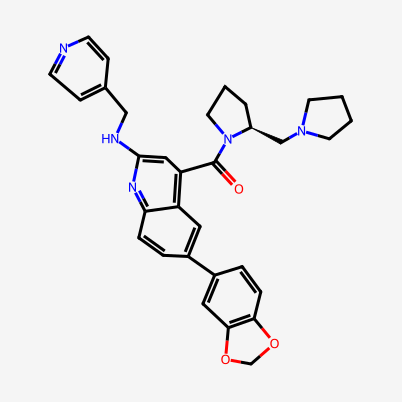 O=C(c1cc(NCc2ccncc2)nc2ccc(-c3ccc4c(c3)OCO4)cc12)N1CCC[C@H]1CN1CCCC1